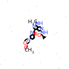 CNc1ncc(-c2nc3cc(N4CCO[C@@H](COC)C4)ccc3o2)c2cc(NC(=O)C3CC3)ncc12